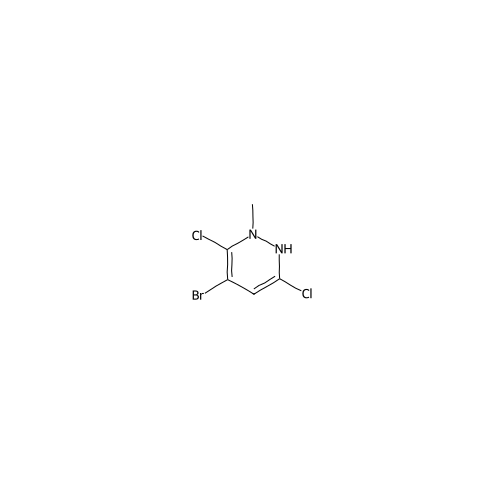 CN1NC(Cl)=CC(Br)=C1Cl